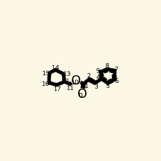 O=C(/C=C/c1ccccc1)OCC1CCCCC1